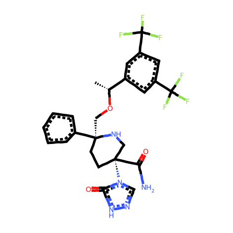 C[C@@H](OC[C@@]1(c2ccccc2)CC[C@@](C(N)=O)(n2cn[nH]c2=O)CN1)c1cc(C(F)(F)F)cc(C(F)(F)F)c1